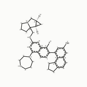 Oc1cc(-c2ncc3c(N4CCCOCC4)nc(OCC45CCCN4C[C@H]4C[C@H]45)nc3c2F)c2c3c(ccc2c1)CCC3